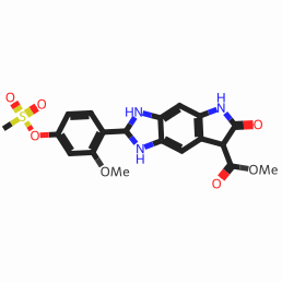 COC(=O)C1C(=O)Nc2cc3c(cc21)NC(c1ccc(OS(C)(=O)=O)cc1OC)N3